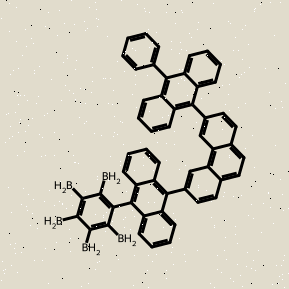 Bc1c(B)c(B)c(-c2c3ccccc3c(-c3ccc4ccc5ccc(-c6c7ccccc7c(-c7ccccc7)c7ccccc67)cc5c4c3)c3ccccc23)c(B)c1B